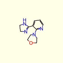 c1cnc(N2CCOCC2)c(C2=NCCN2)c1